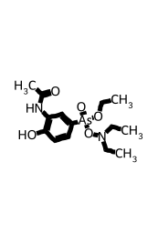 CCO[As](=O)(ON(CC)CC)c1ccc(O)c(NC(C)=O)c1